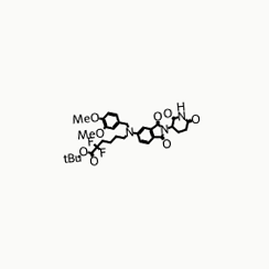 COc1ccc(CN(CCCCC(F)(F)C(=O)OC(C)(C)C)c2ccc3c(c2)C(=O)N(C2CCC(=O)NC2=O)C3=O)cc1OC